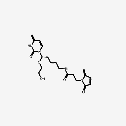 C=C1C=CN([C@@H](CCCCNC(=O)CCN2C(=C)C=CC2=O)OCCO)C(=O)N1